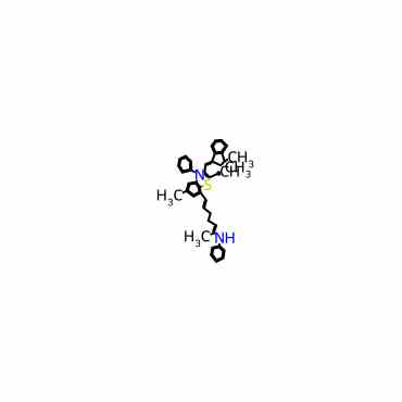 C#CC1=C(/C=C2\CC(C)(C)c3ccccc32)N(c2ccccc2)c2cc(C)cc(/C=C/CC/C=C(\C)Nc3ccccc3)c2S1